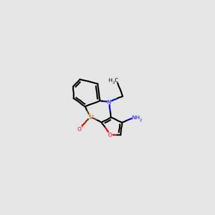 CCN1c2ccccc2[S+]([O-])c2occ(N)c21